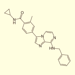 Cc1cc(-c2cnc3c(NCc4ccccc4)nccn23)ccc1C(=O)NC1CC1